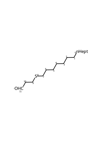 CCCCCCCCCCCCCCSCC[C]=O